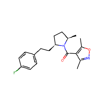 Cc1noc(C)c1C(=O)N1[C@@H](CCc2ccc(F)cc2)CC[C@H]1C